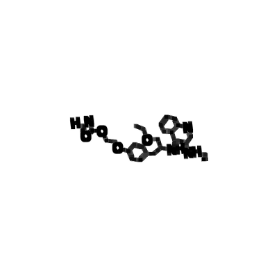 CCOCC(Cc1ccc(OCCOC(N)=O)cc1)Nc1c(N)cnc2ccccc12